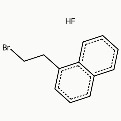 BrCCc1cccc2ccccc12.F